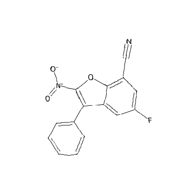 N#Cc1cc(F)cc2c(-c3ccccc3)c([N+](=O)[O-])oc12